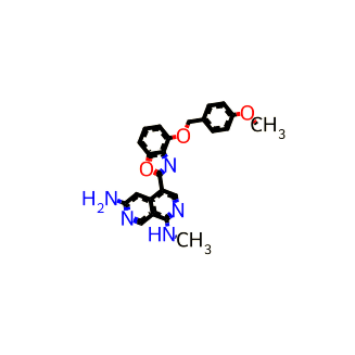 CNc1ncc(-c2nc3c(OCc4ccc(OC)cc4)cccc3o2)c2cc(N)ncc12